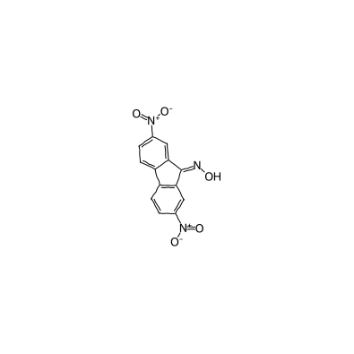 O=[N+]([O-])c1ccc2c(c1)C(=NO)c1cc([N+](=O)[O-])ccc1-2